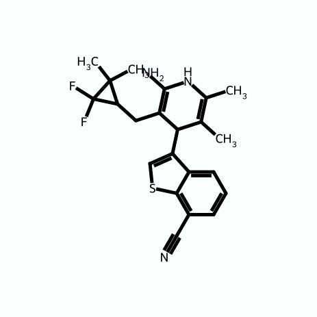 CC1=C(C)C(c2csc3c(C#N)cccc23)C(CC2C(C)(C)C2(F)F)=C(N)N1